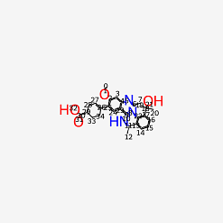 COc1cc2nc(C)nc(N[C@H](C)c3cccc(C(C)(C)O)c3)c2cc1C1=CCC(C(=O)O)CC1